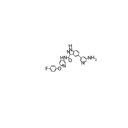 Nc1cncc(-c2ccc3[nH]nc(C(=O)Nc4ccc(Oc5ccc(F)cc5)nc4)c3c2)c1